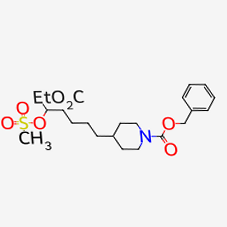 CCOC(=O)C(CCCCC1CCN(C(=O)OCc2ccccc2)CC1)OS(C)(=O)=O